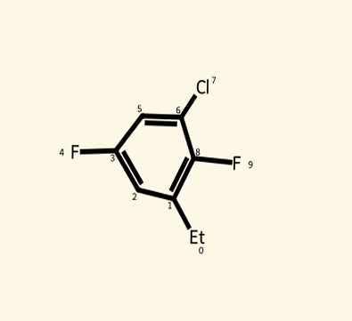 CCc1cc(F)cc(Cl)c1F